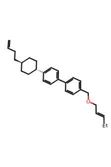 C=CCC[C@H]1CC[C@H](c2ccc(-c3ccc(COCC=CCC)cc3)cc2)CC1